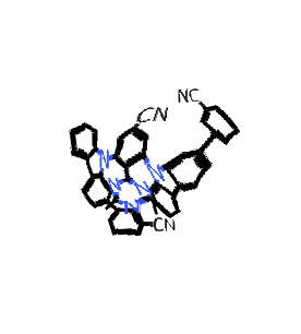 Cc1nc(C)nc(-c2c(-n3c4ccccc4c4ccc(-c5cccc(C#N)c5)cc43)cc(C#N)cc2-n2c3ccccc3c3ccc(-c4cccc(C#N)c4)cc32)n1